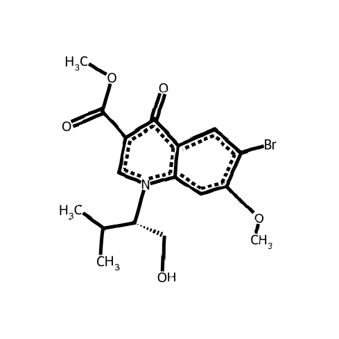 COC(=O)c1cn([C@H](CO)C(C)C)c2cc(OC)c(Br)cc2c1=O